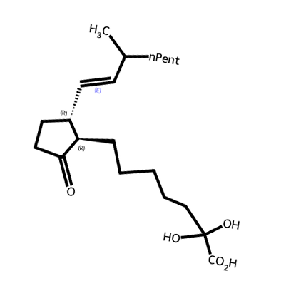 CCCCCC(C)/C=C/[C@H]1CCC(=O)[C@@H]1CCCCCC(O)(O)C(=O)O